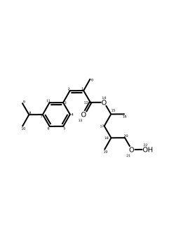 CC(=Cc1cccc(C(C)C)c1)C(=O)OC(C)CC(C)COO